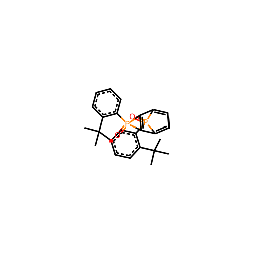 CC(C)(C)c1ccccc1P1(=O)C2=CC=C1C1=C2P1(=O)c1ccccc1C(C)(C)C